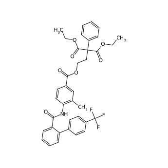 CCOC(=O)C(CCOC(=O)c1ccc(NC(=O)c2ccccc2-c2ccc(C(F)(F)F)cc2)c(C)c1)(C(=O)OCC)c1ccccc1